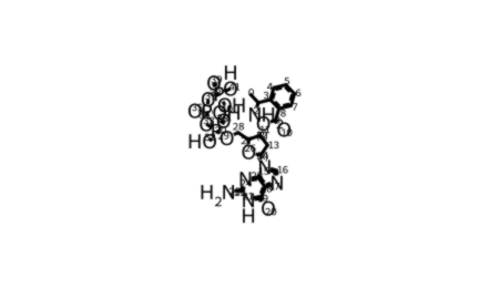 CC(N)c1ccccc1C(=O)O[C@@H]1C[C@H](n2cnc3c(=O)[nH]c(N)nc32)OC1COP(=O)(O)OP(=O)(O)OP(=O)(O)O